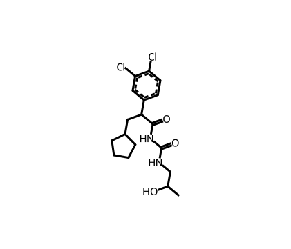 CC(O)CNC(=O)NC(=O)C(CC1CCCC1)c1ccc(Cl)c(Cl)c1